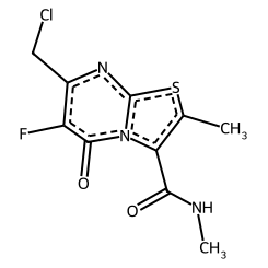 CNC(=O)c1c(C)sc2nc(CCl)c(F)c(=O)n12